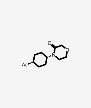 CC(=O)[C@H]1CC[C@H](N2CCOCC2=O)CC1